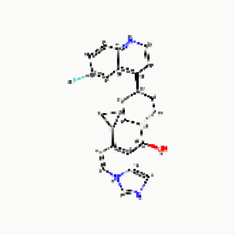 O[C@@H](c1c(C2CC2)ccn2cncc12)[C@H]1CC[C@H](c2ccnc3ccc(F)cc32)CC1